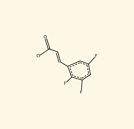 O=C(Cl)C=Cc1cc(F)cc(F)c1F